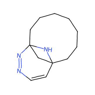 C1=CC23CCCCCCCC(C2)(N=N1)N3